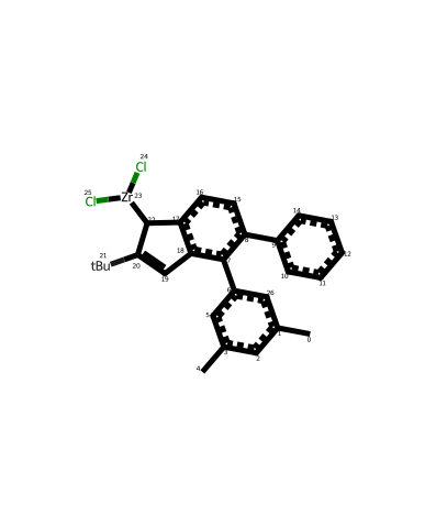 Cc1cc(C)cc(-c2c(-c3ccccc3)ccc3c2C=C(C(C)(C)C)[CH]3[Zr]([Cl])[Cl])c1